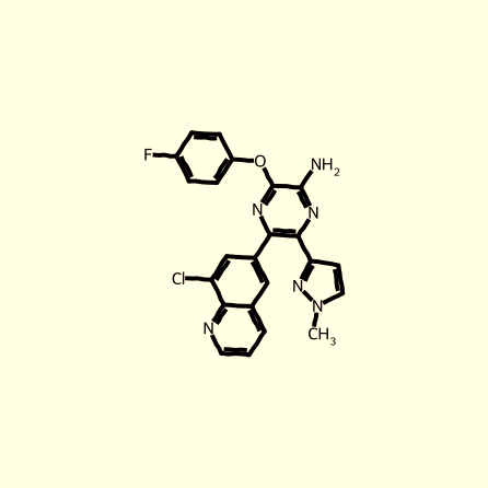 Cn1ccc(-c2nc(N)c(Oc3ccc(F)cc3)nc2-c2cc(Cl)c3ncccc3c2)n1